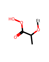 CCOC(C)C(=O)OO